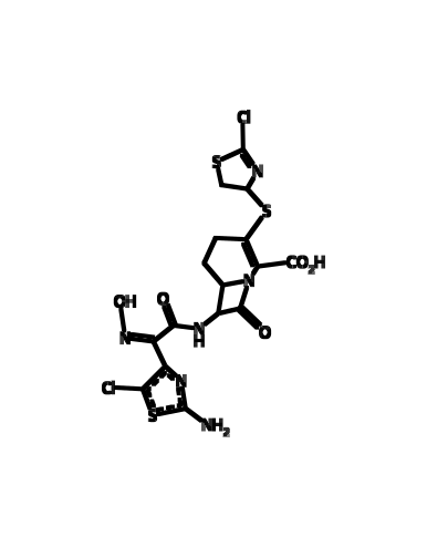 Nc1nc(/C(=N/O)C(=O)NC2C(=O)N3C(C(=O)O)=C(SC4CSC(Cl)=N4)CCC23)c(Cl)s1